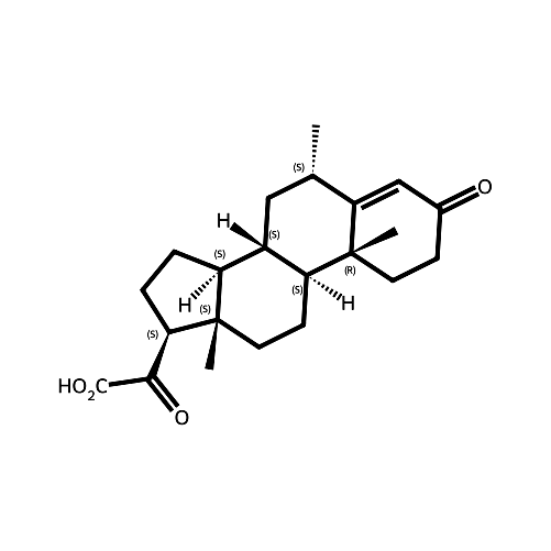 C[C@H]1C[C@H]2[C@@H]3CC[C@H](C(=O)C(=O)O)[C@@]3(C)CC[C@@H]2[C@@]2(C)CCC(=O)C=C12